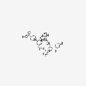 CCC1=CC=C(Cn2ccnc2NCO/C=C2\CN(C)C[C@H]2C2=C(F)C=C(F)CC2)C(N2CCC(C(=O)O)CC2)C1